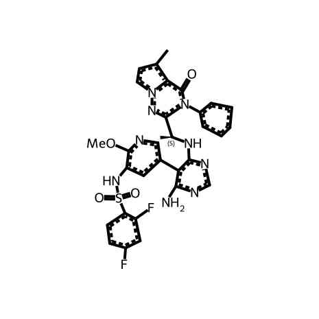 COc1ncc(-c2c(N)ncnc2N[C@@H](C)c2nn3ccc(C)c3c(=O)n2-c2ccccc2)cc1NS(=O)(=O)c1ccc(F)cc1F